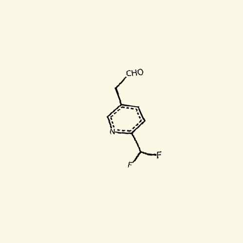 O=CCc1ccc(C(F)F)nc1